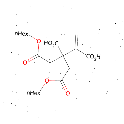 C=C(C(=O)O)C(CC(=O)OCCCCCC)(CC(=O)OCCCCCC)C(=O)O